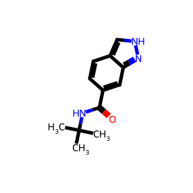 CC(C)(C)NC(=O)c1ccc2c[nH]nc2c1